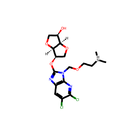 C[SiH](C)CCOCn1c(O[C@@H]2CO[C@H]3[C@@H]2OC[C@H]3O)nc2cc(Cl)c(Cl)nc21